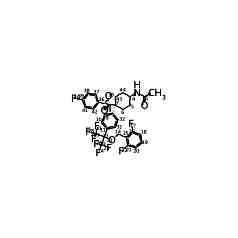 CC(=O)N[C@H]1CC[C@@](c2ccc(C(OCc3c(F)cccc3F)(C(F)(F)F)C(F)(F)F)cc2)(S(=O)(=O)c2ccc(F)cc2)CC1